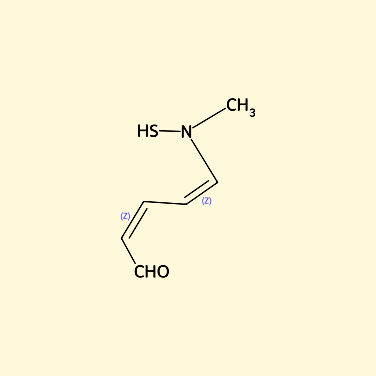 CN(S)/C=C\C=C/C=O